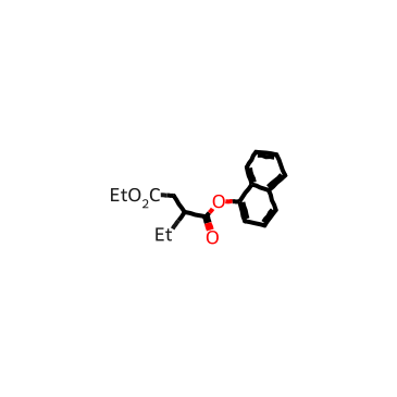 CCOC(=O)CC(CC)C(=O)Oc1cccc2ccccc12